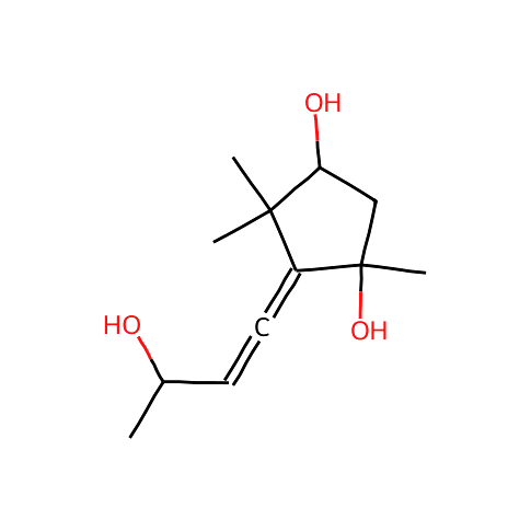 CC(O)C=C=C1C(C)(O)CC(O)C1(C)C